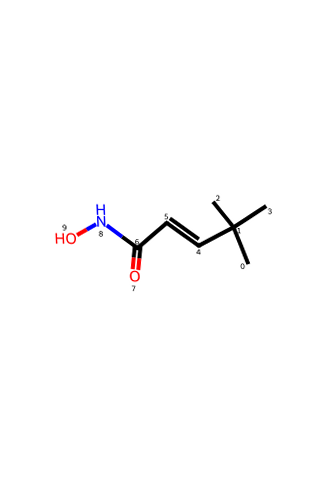 CC(C)(C)/C=C/C(=O)NO